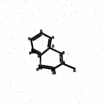 Cc1cc2cccnc2nn1